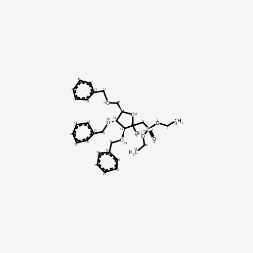 CCOP(=O)(CC1(O)O[C@H](COCc2ccccc2)[C@@H](OCc2ccccc2)[C@@H]1OCc1ccccc1)OCC